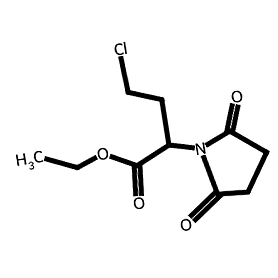 CCOC(=O)C(CCCl)N1C(=O)CCC1=O